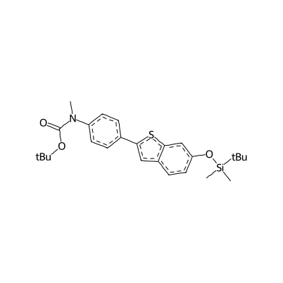 CN(C(=O)OC(C)(C)C)c1ccc(-c2cc3ccc(O[Si](C)(C)C(C)(C)C)cc3s2)cc1